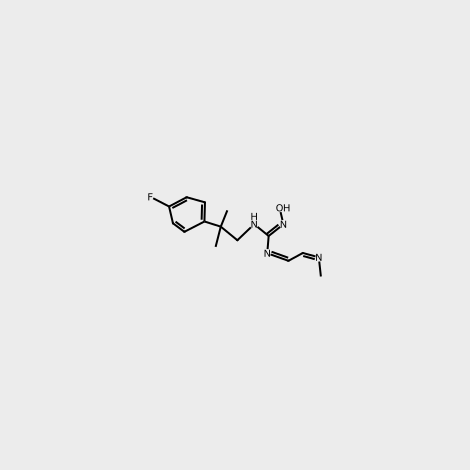 C\N=C/C=N\C(=N\O)NCC(C)(C)c1ccc(F)cc1